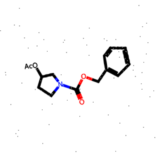 CC(=O)OC1CCN(C(=O)OCc2ccccc2)C1